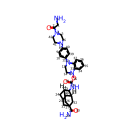 NCC(=O)N1CCN(c2ccc(N3CCN(OC(=O)NC4[C@@H]5CC6C[C@H]4CC(C(N)=O)(C6)C5)c4ccccc43)cc2)CC1